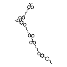 C=C(C)C(=O)OCCCCCCOC(=O)c1cc(OCCCCCCOC(=O)CCC(=O)OCCCCCCOc2ccc(C3CCC(CCC)CC3)cc2)ccc1OCC